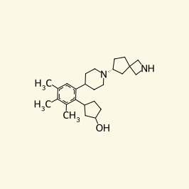 Cc1cc(C2CCN([C@@H]3CCC4(CNC4)C3)CC2)c(C2CCC(O)C2)c(C)c1C